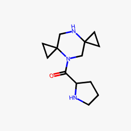 O=C(C1CCCN1)N1CC2(CC2)NCC12CC2